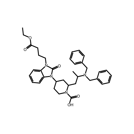 CCOC(=O)CCCn1c(=O)n(C2CCN(C(=O)O)C(CC(C)N(Cc3ccccc3)Cc3ccccc3)C2)c2ccccc21